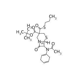 CCCSC(=O)C1(C(=O)OC(C)(C)C)CS[C@@H]2C(N(C(C)=O)C3=CCC=CC3)C(=O)N2C1